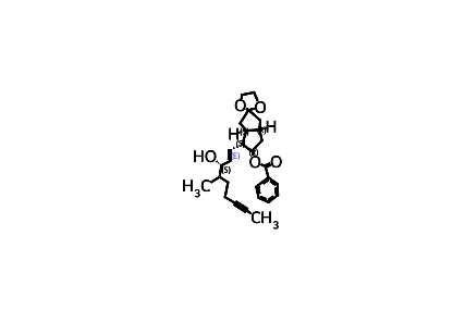 CC#CCCC(C)[C@H](O)/C=C/[C@@H]1[C@H]2CC3(C[C@H]2C[C@H]1OC(=O)c1ccccc1)OCCO3